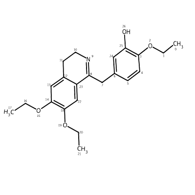 CCOc1ccc(CC2=NCCc3cc(OCC)c(OCC)cc32)cc1O